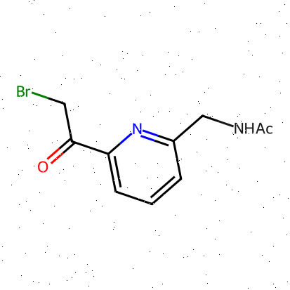 CC(=O)NCc1cccc(C(=O)CBr)n1